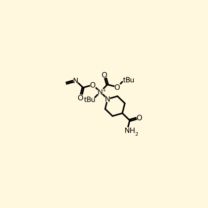 C=NC(=O)O[N+](C(=O)OC(C)(C)C)(N1CCC(C(N)=O)CC1)C(C)(C)C